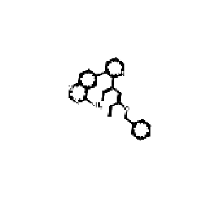 C=C/C(=C\C(=C/C)c1ncccc1-c1ccc2ncnc(N)c2c1)OCc1ccccc1